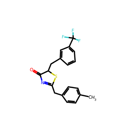 Cc1ccc(CC2=NC(=O)C(Cc3cccc(C(F)(F)F)c3)S2)cc1